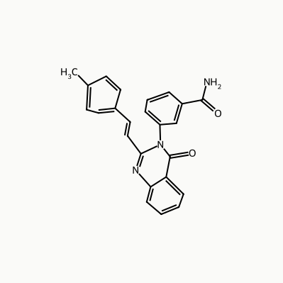 Cc1ccc(/C=C/c2nc3ccccc3c(=O)n2-c2cccc(C(N)=O)c2)cc1